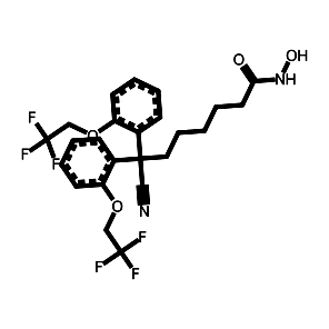 N#CC(CCCCCC(=O)NO)(c1ccccc1OCC(F)(F)F)c1ccccc1OCC(F)(F)F